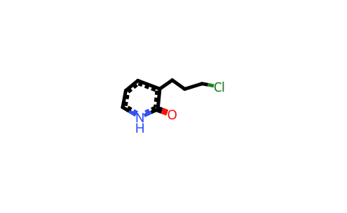 O=c1[nH]cccc1CCCCl